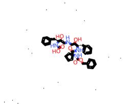 O=C(O)N[C@@H](Cc1ccccc1)[C@H](O)CNCC(O)[C@H](Cc1ccccc1)NC(=O)C1(NC(=O)OCc2ccccc2)CCCC1